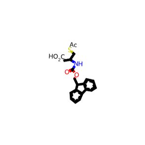 CC(=O)SCC(CC(=O)O)NC(=O)OCC1c2ccccc2-c2ccccc21